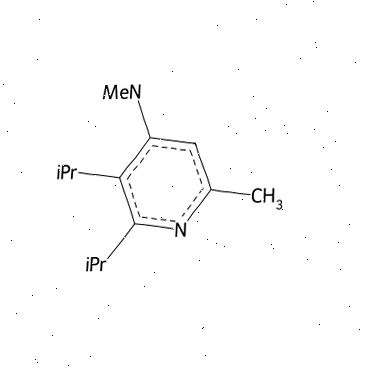 CNc1cc(C)nc(C(C)C)c1C(C)C